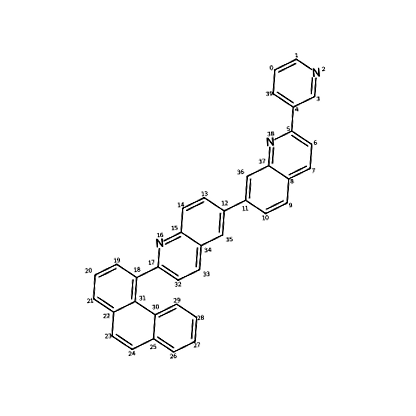 c1cncc(-c2ccc3ccc(-c4ccc5nc(-c6cccc7ccc8ccccc8c67)ccc5c4)cc3n2)c1